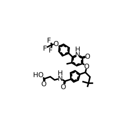 Cc1cc(OC(CC(C)(C)C)c2ccc(C(=O)NCCC(=O)O)cc2)c(=O)[nH]c1-c1ccc(OC(F)(F)F)cc1